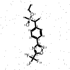 CCOP(C)(=O)C(C)c1ccc(-c2noc(C(F)(F)F)n2)cc1